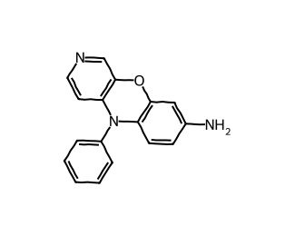 Nc1ccc2c(c1)Oc1cnccc1N2c1ccccc1